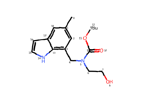 Cc1cc(CN(CCO)C(=O)OC(C)(C)C)c2[nH]ccc2c1